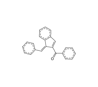 O=C(C1=Cc2ccccc2C1=Cc1ccccc1)c1ccccc1